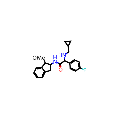 COC1c2ccccc2CC1NC(=O)C(NCC1CC1)c1ccc(F)cc1